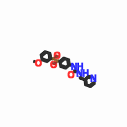 COc1cccc(S(=O)(=O)c2ccc(NC(=O)NCc3cccnc3)cc2)c1